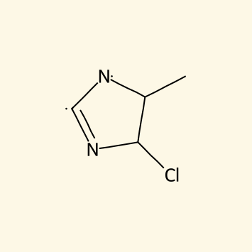 CC1[N][C]=NC1Cl